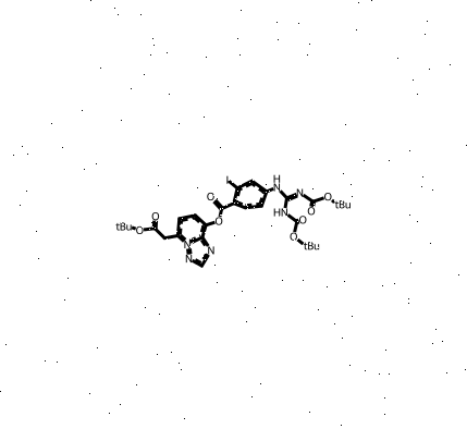 CC(C)(C)OC(=O)Cc1ccc(OC(=O)c2ccc(N/C(=N/C(=O)OC(C)(C)C)NC(=O)OC(C)(C)C)cc2I)c2ncnn12